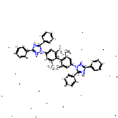 Cc1cc(-n2nc(-c3ccccc3)nc2-c2ccccc2)cc(C)c1-c1c(C)cc(-n2nc(-c3ccccc3)nc2-c2ccccc2)cc1C